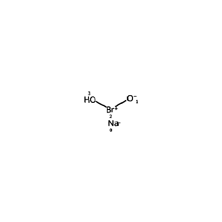 [Na].[O-][Br+]O